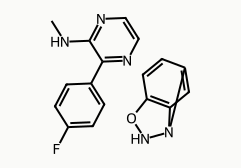 CNc1nccnc1-c1ccc(F)cc1.c1cc2cc3c1o[nH]n2-3